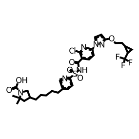 CC1(C)CC(CCCCCc2ccc(S(=O)(=O)NC(=O)c3ccc(-n4ccc(OCCC5CC5C(F)(F)F)n4)nc3Cl)nc2)CN1C(=O)O